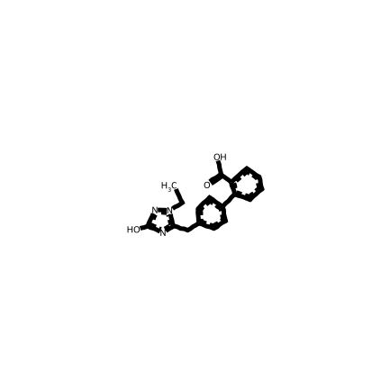 CCn1nc(O)nc1Cc1ccc(-c2ccccc2C(=O)O)cc1